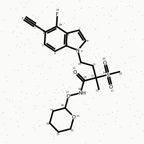 C#Cc1ccc2c(ccn2CCC(C)(C(=O)NOC2CCCCO2)S(C)(=O)=O)c1F